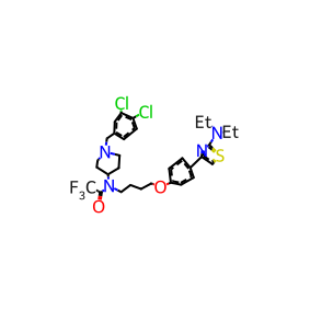 CCN(CC)c1nc(-c2ccc(OCCCCN(C(=O)C(F)(F)F)C3CCN(Cc4ccc(Cl)c(Cl)c4)CC3)cc2)cs1